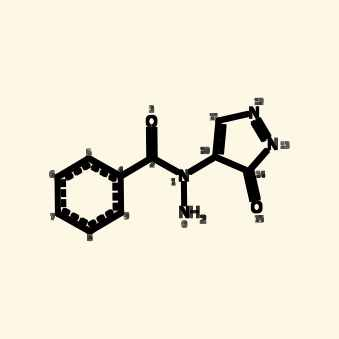 NN(C(=O)c1ccccc1)C1=CN=NC1=O